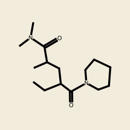 CCC(CC(C)C(=O)N(C)C)C(=O)N1CCCCC1